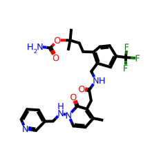 Cc1ccn(NCc2cccnc2)c(=O)c1CC(=O)NCc1cc(C(F)(F)F)ccc1CCC(C)(C)OC(N)=O